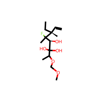 C=C[C@@](C)(CC)C(C)(F)[C@@H](O)C(O)(O)C(C)OCOC